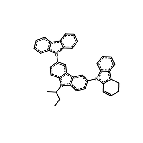 CCC(C)n1c2ccc(-n3c4c(c5ccccc53)CCC=C4)cc2c2cc(-n3c4ccccc4c4ccccc43)ccc21